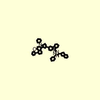 c1ccc(-c2nc(-c3ccc4ccccc4c3)nc(-n3c4ccccc4c4cc(-c5ccc6c(c5)c5c7cccc8c7c(cc5n6-c5ccccc5)Oc5ccccc5-8)ccc43)n2)cc1